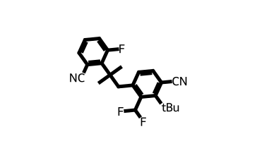 CC(C)(C)c1c(C#N)ccc(CC(C)(C)c2c(F)cccc2C#N)c1C(F)F